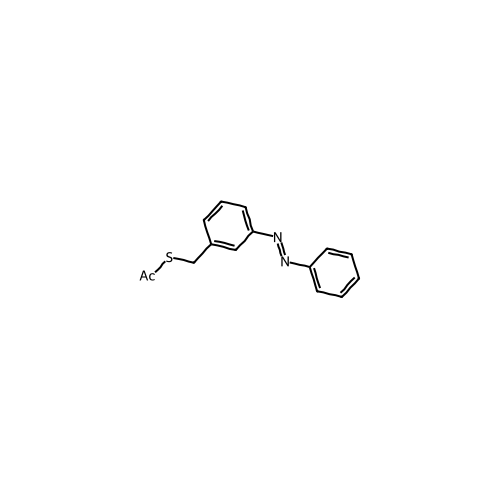 CC(=O)SCc1cccc(N=Nc2ccccc2)c1